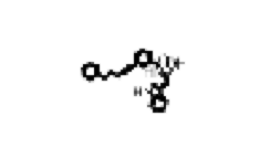 O=C(N[C@@H](CO)Cc1c[nH]c2ccccc12)c1cccc(C#CCCCC2CCCCC2)c1